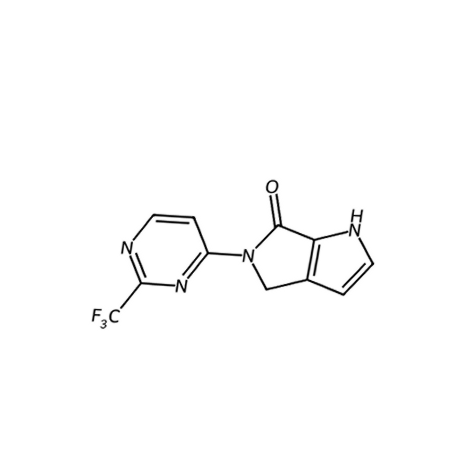 O=C1c2[nH]ccc2CN1c1ccnc(C(F)(F)F)n1